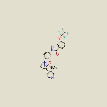 CNC1(Oc2cc(NC(=O)c3cccc(OC(F)(F)C(F)F)c3)ccc2C)NC=CC=C1c1ccncc1